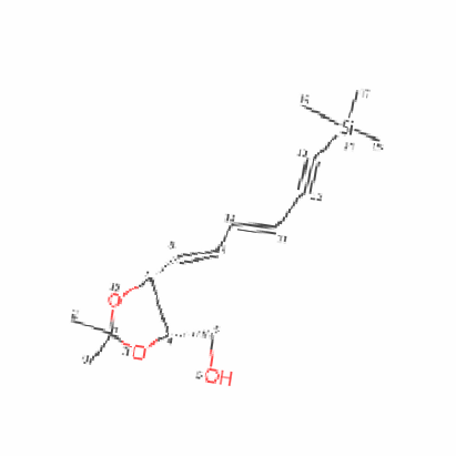 CC1(C)O[C@@H](CO)[C@@H](C=CC=CC#C[Si](C)(C)C)O1